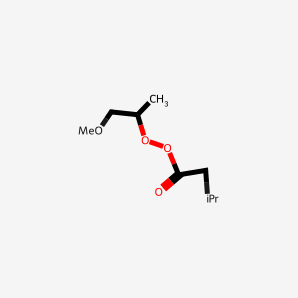 COCC(C)OOC(=O)CC(C)C